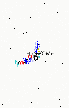 COC[C@]12CC1[C@@](C)(c1cc(NC(=O)c3cnc(OCC(F)F)cn3)ccc1F)N=C(N)S2